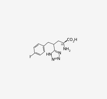 N[C@@H](CC(Cc1ccc(I)cc1)c1nnn[nH]1)C(=O)O